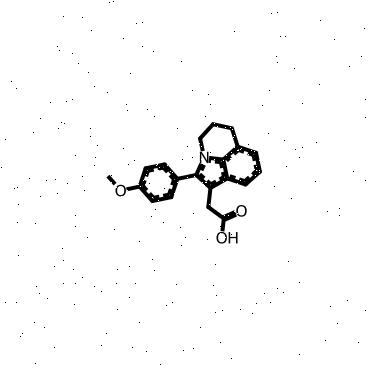 COc1ccc(-c2c(CC(=O)O)c3cccc4c3n2CCC4)cc1